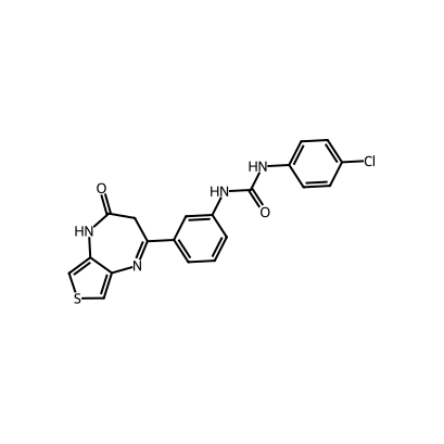 O=C1CC(c2cccc(NC(=O)Nc3ccc(Cl)cc3)c2)=Nc2cscc2N1